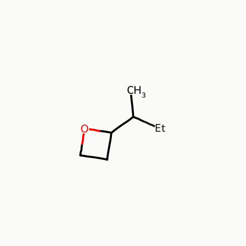 CCC(C)C1CCO1